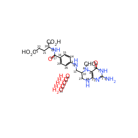 Nc1nc2c(c(=O)[nH]1)N(C=O)C(CNc1ccc(C(=O)NC(CCC(=O)O)C(=O)O)cc1)CN2.O.O.O.O.O